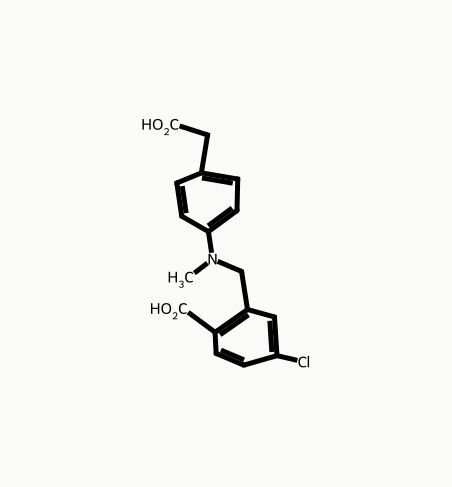 CN(Cc1cc(Cl)ccc1C(=O)O)c1ccc(CC(=O)O)cc1